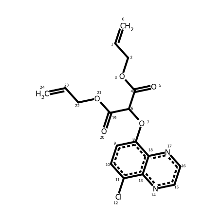 C=CCOC(=O)C(Oc1ccc(Cl)c2nccnc12)C(=O)OCC=C